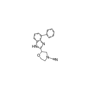 N#CN1CCOC(c2nc3c(-c4ccccc4)cccc3[nH]2)C1